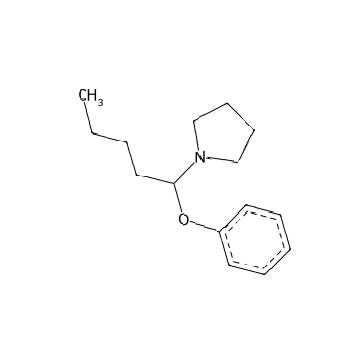 CCCCC(Oc1ccccc1)N1CCCC1